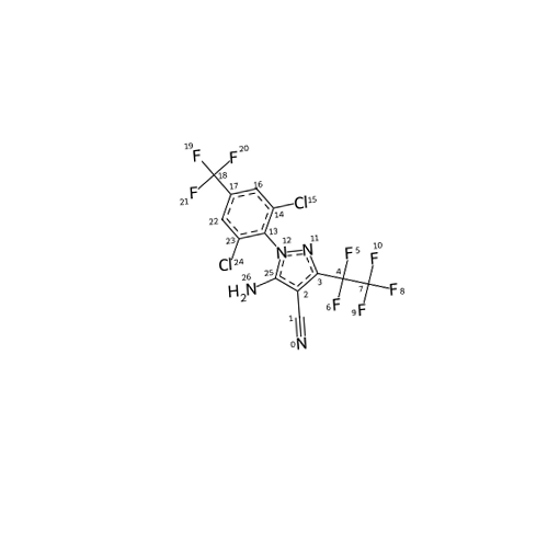 N#Cc1c(C(F)(F)C(F)(F)F)nn(-c2c(Cl)cc(C(F)(F)F)cc2Cl)c1N